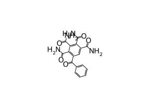 NC(=O)c1cc(C(=O)c2ccccc2)c(C(N)=O)c(C(N)=O)c1C(N)=O